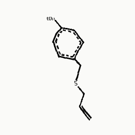 C=CCSCc1ccc(C(C)(C)C)cc1